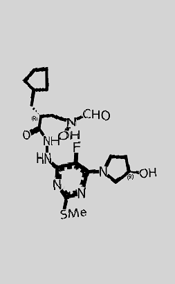 CSc1nc(NNC(=O)[C@H](CC2CCCC2)CN(O)C=O)c(F)c(N2CC[C@@H](O)C2)n1